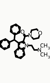 CN(C)CCn1c(C(=O)N2CCOCC2)c(C(c2ccccc2)c2ccccc2)c2ccccc21